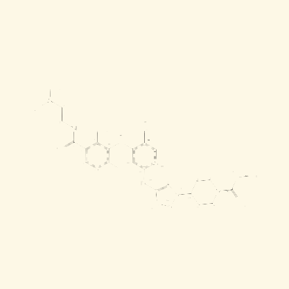 Cc1ncc(C(=O)NCCN(C)C)c(C)c1Oc1cc(NC2=CN(C3CCN(C(=O)OC(C)(C)C)CC3)NS2)ncc1Br